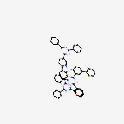 Fc1cccc(F)c1-c1ccc(-n2c3cc(-c4nc(-c5ccccc5)nc(-c5ccccc5)n4)ccc3c3ccc(-c4nc(-c5ccccc5)nc(-c5ccccc5)n4)cc32)c(-c2nc(-c3ccccc3)nc(-c3ccccc3)n2)c1